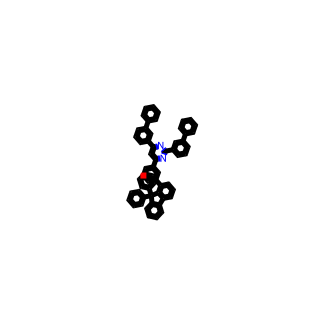 c1ccc(-c2cccc(-c3cc(-c4cccc(-c5cccc6c5C(c5ccccc5)(c5ccccc5)c5ccccc5-6)c4)nc(-c4cccc(-c5ccccc5)c4)n3)c2)cc1